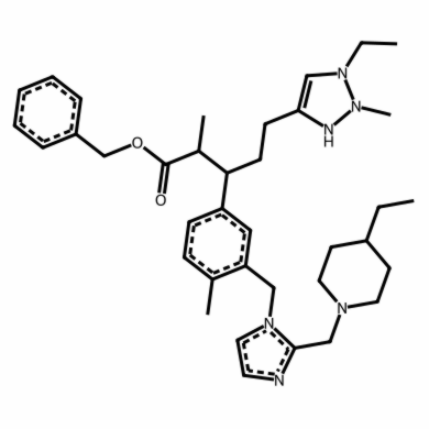 CCC1CCN(Cc2nccn2Cc2cc(C(CCC3=CN(CC)N(C)N3)C(C)C(=O)OCc3ccccc3)ccc2C)CC1